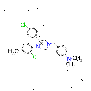 Cc1ccc(N2CCN(Cc3ccc(N(C)C)cc3)C[C@H]2c2ccc(Cl)cc2)c(Cl)c1